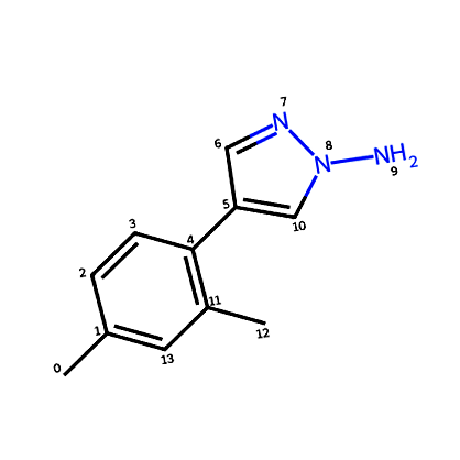 Cc1ccc(-c2cnn(N)c2)c(C)c1